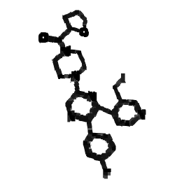 O=C(C1CCCO1)N1CCN(c2cnc(-c3ccc(F)cc3)c(-c3ccncc3CI)n2)CC1